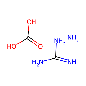 N.N=C(N)N.O=C(O)O